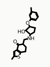 Cc1cccc(OC2CCC(NCC3CCc4sc(C)cc4C3=O)C2O)c1